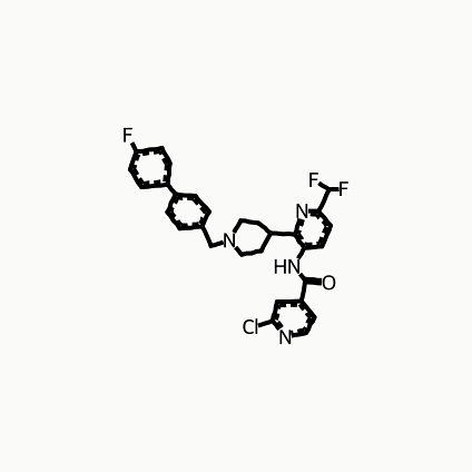 O=C(Nc1ccc(C(F)F)nc1C1CCN(Cc2ccc(-c3ccc(F)cc3)cc2)CC1)c1ccnc(Cl)c1